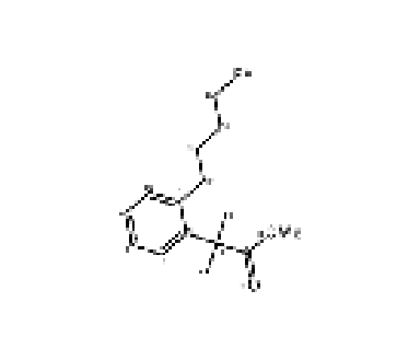 COC(=O)C(C)(C)c1ccccc1CCCCF